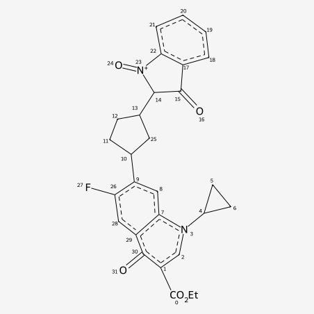 CCOC(=O)c1cn(C2CC2)c2cc(C3CCC(C4C(=O)c5ccccc5[N+]4=O)C3)c(F)cc2c1=O